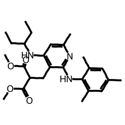 CCC(CC)Nc1cc(C)nc(Nc2c(C)cc(C)cc2C)c1CC(C(=O)OC)C(=O)OC